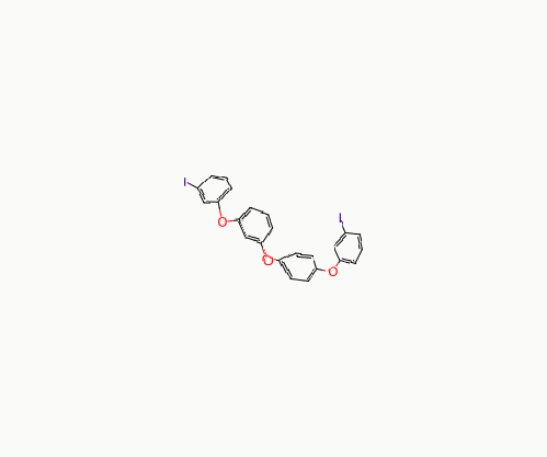 Ic1cccc(Oc2ccc(Oc3cccc(Oc4cccc(I)c4)c3)cc2)c1